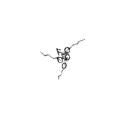 CCCCCOC[C@H]1O[C@H](OCCCCC)[C@H](F)[C@@H]1OCCCCC